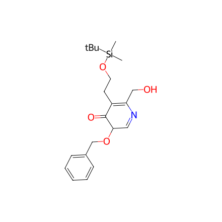 CC(C)(C)[Si](C)(C)OCCC1=C(CO)N=CC(OCc2ccccc2)C1=O